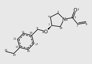 C=CC(=O)N1CC[C@H](OCc2ccc(CC)cc2)C1